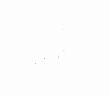 Cc1c2ccncc2cc2c3cc(N4CCN(C)CC4)ccc3n(C)c12